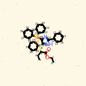 CCOC(=O)C(CC)Sc1[nH]c(-c2ccccc2)nc1[PH](c1ccccc1)(c1ccccc1)c1ccccc1